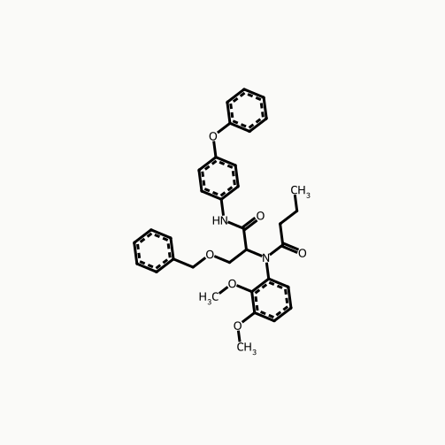 CCCC(=O)N(c1cccc(OC)c1OC)C(COCc1ccccc1)C(=O)Nc1ccc(Oc2ccccc2)cc1